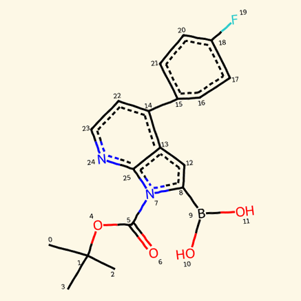 CC(C)(C)OC(=O)n1c(B(O)O)cc2c(-c3ccc(F)cc3)ccnc21